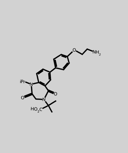 CC(C)N1C(=O)CN(C(C)(C)C(=O)O)C(=O)c2cc(-c3ccc(OCCN)cc3)ccc21